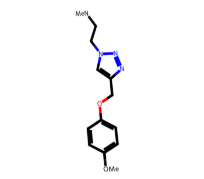 CNCCn1cc(COc2ccc(OC)cc2)nn1